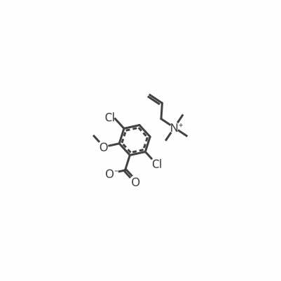 C=CC[N+](C)(C)C.COc1c(Cl)ccc(Cl)c1C(=O)[O-]